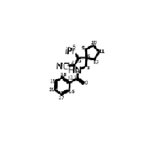 C=C(NCC1(C(CC#N)C(C)C)CCCC1)c1ccccc1